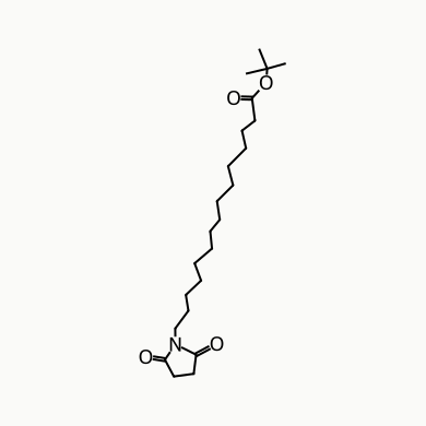 CC(C)(C)OC(=O)CCCCCCCCCCCCCCN1C(=O)CCC1=O